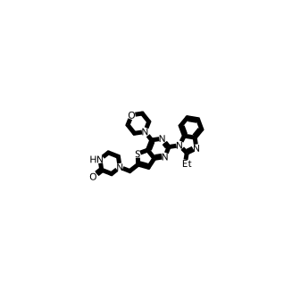 CCc1nc2ccccc2n1-c1nc(N2CCOCC2)c2sc(CN3CCNC(=O)C3)cc2n1